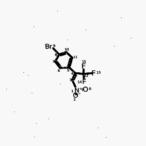 O=[N+]([O-])/C=C(/c1ccc(Br)cc1)C(F)(F)F